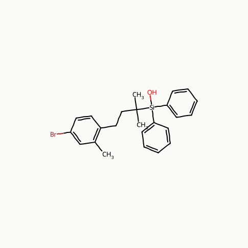 Cc1cc(Br)ccc1CCC(C)(C)[Si](O)(c1ccccc1)c1ccccc1